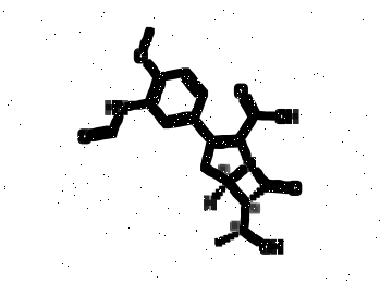 COc1ccc(C2=C(C(=O)O)N3C(=O)[C@H]([C@@H](C)O)[C@H]3C2)cc1NC=O